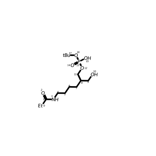 CCC(=O)NCCCCC(CO)COP(=O)(O)OC(C)(C)C